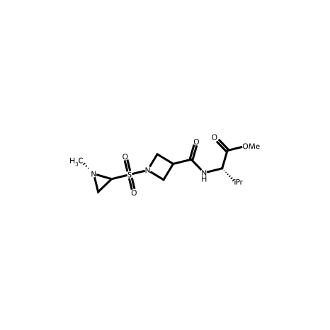 COC(=O)[C@@H](NC(=O)C1CN(S(=O)(=O)C2C[N@]2C)C1)C(C)C